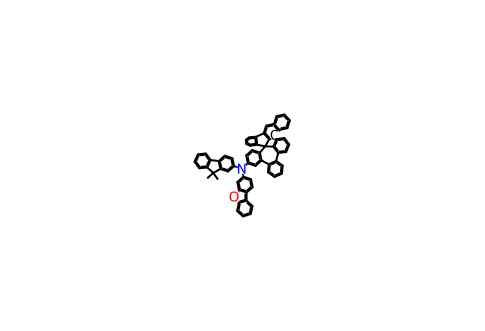 CC1(C)c2ccccc2-c2ccc(N(c3ccc4c(c3)-c3ccccc3-c3ccccc3C43c4ccccc4-c4cc5ccccc5cc43)c3ccc4c(c3)oc3ccccc34)cc21